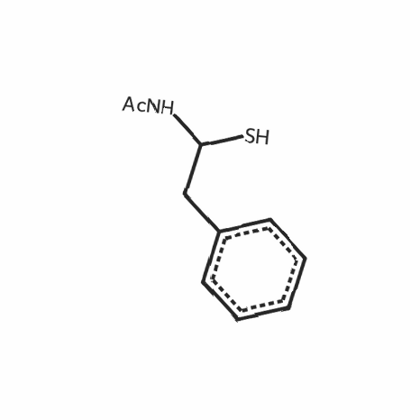 CC(=O)NC(S)Cc1ccccc1